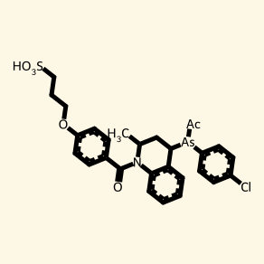 CC(=O)[As](c1ccc(Cl)cc1)C1CC(C)N(C(=O)c2ccc(OCCCS(=O)(=O)O)cc2)c2ccccc21